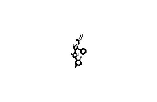 C=C(Cn1ncc(-c2nc(-c3cc(C)ccc3F)no2)c1-c1ccccc1)OCC